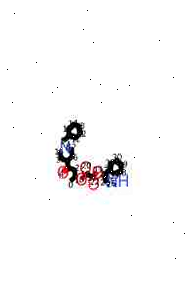 CC(CC(=O)C1CCN(Cc2ccccc2)CC1)OC(=O)C(=O)Oc1c[nH]c2ccccc12